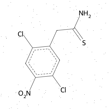 NC(=S)Cc1cc(Cl)c([N+](=O)[O-])cc1Cl